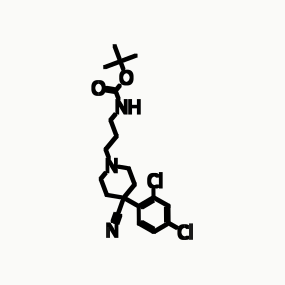 CC(C)(C)OC(=O)NCCCN1CCC(C#N)(c2ccc(Cl)cc2Cl)CC1